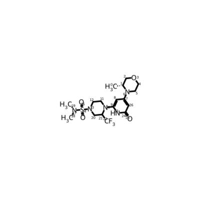 C[C@@H]1COCCN1c1cc(N2CCN(S(=O)(=O)N(C)C)CC2C(F)(F)F)[nH]c(=O)c1